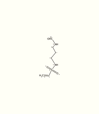 C=CS(=O)(=O)NCCCN[C]=O